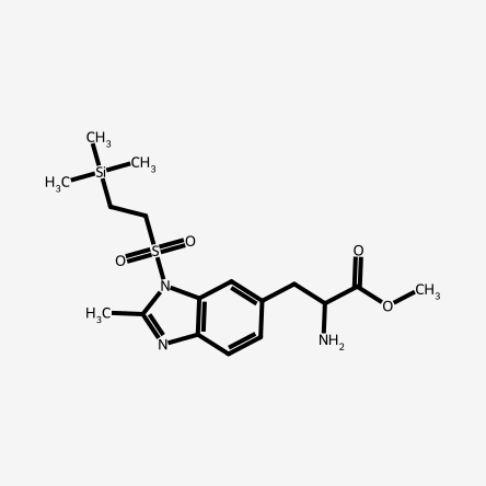 COC(=O)C(N)Cc1ccc2nc(C)n(S(=O)(=O)CC[Si](C)(C)C)c2c1